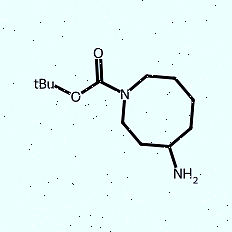 CC(C)(C)OC(=O)N1CCCCC(N)CC1